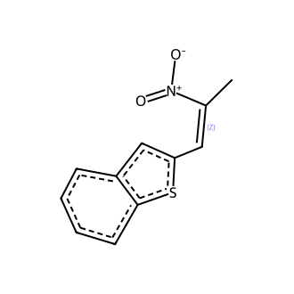 C/C(=C/c1cc2ccccc2s1)[N+](=O)[O-]